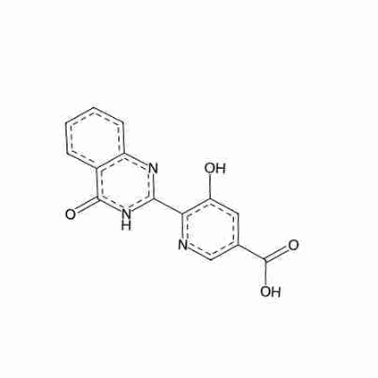 O=C(O)c1cnc(-c2nc3ccccc3c(=O)[nH]2)c(O)c1